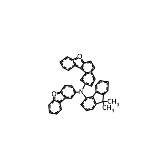 CC1(C)c2ccccc2-c2c(N(c3ccc4oc5ccccc5c4c3)c3ccc4ccc5oc6ccccc6c5c4c3)cccc21